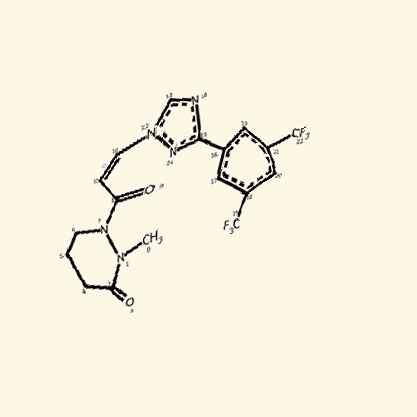 CN1C(=O)CCCN1C(=O)/C=C\n1cnc(-c2cc(C(F)(F)F)cc(C(F)(F)F)c2)n1